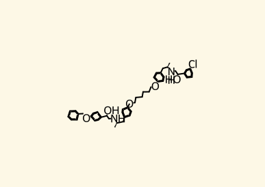 C[C@H](Cc1ccc(OCCCCCCOc2ccc(C[C@@H](C)NC[C@H](O)c3cccc(Cl)c3)cc2)cc1)NC[C@H](O)c1ccc(OCc2ccccc2)cc1